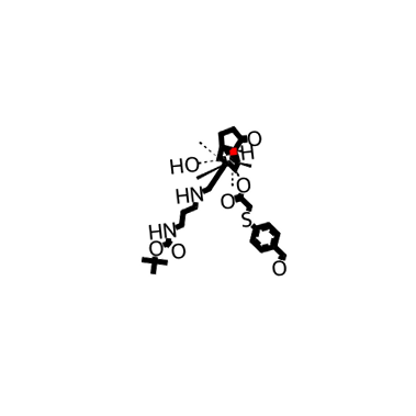 C[C@@H]1CC[C@@]23CCC(=O)[C@H]2[C@]1(C)[C@H](OC(=O)CSc1ccc(C=O)cc1)C[C@](C)(CNCCCNC(=O)OC(C)(C)C)[C@@H](O)[C@@H]3C